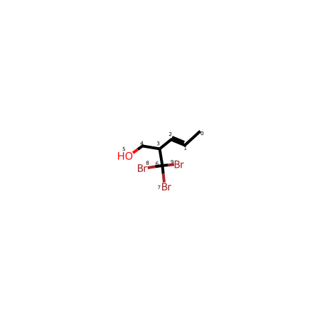 CC=CC(CO)C(Br)(Br)Br